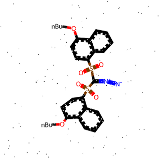 CCCCOc1ccc(S(=O)(=O)C(=[N+]=[N-])S(=O)(=O)c2ccc(OCCCC)c3ccccc23)c2ccccc12